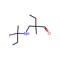 CCC(C)(C=O)CNC(C)(I)CC